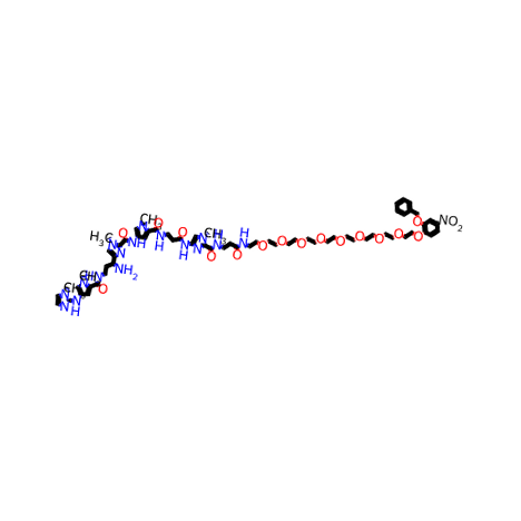 Cn1cc(NC(=O)c2nc(C(N)CCNC(=O)c3cc(Nc4nccn4C)cn3C)cn2C)cc1C(=O)NCCC(=O)Nc1cn(C)c(C(=O)NCCC(=O)NCCOCCOCCOCCOCCOCCOCCOCCOCCOc2ccc([N+](=O)[O-])cc2OCc2ccccc2)n1